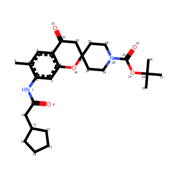 Cc1cc2c(cc1NC(=O)CC1CCCC1)OC1(CCN(C(=O)OC(C)(C)C)CC1)CC2=O